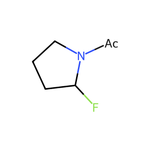 CC(=O)N1CCCC1F